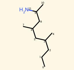 CCCC(C)CC(C)CC(C)N